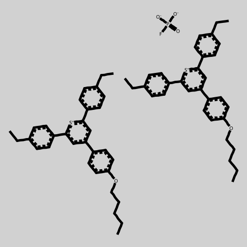 CCCCCOc1ccc(-c2cc(-c3ccc(CC)cc3)[s+]c(-c3ccc(CC)cc3)c2)cc1.CCCCCOc1ccc(-c2cc(-c3ccc(CC)cc3)[s+]c(-c3ccc(CC)cc3)c2)cc1.O=P([O-])([O-])F